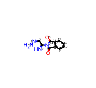 N=C(/C=N\N)N1C(=O)c2ccccc2C1=O